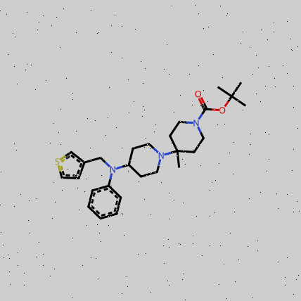 CC(C)(C)OC(=O)N1CCC(C)(N2CCC(N(Cc3ccsc3)c3ccccc3)CC2)CC1